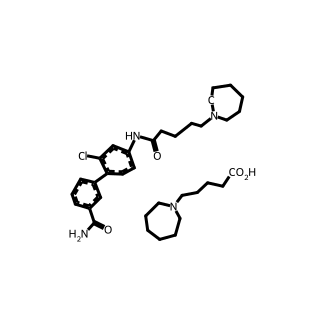 NC(=O)c1cccc(-c2ccc(NC(=O)CCCCN3CCCCCC3)cc2Cl)c1.O=C(O)CCCCN1CCCCCC1